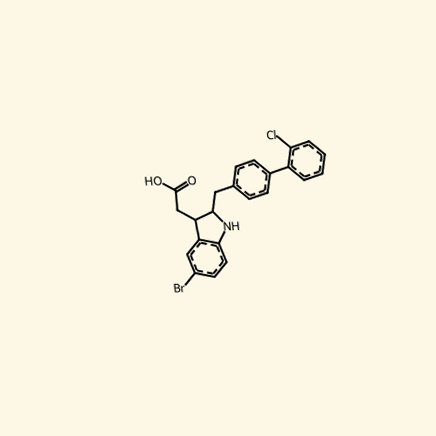 O=C(O)CC1c2cc(Br)ccc2NC1Cc1ccc(-c2ccccc2Cl)cc1